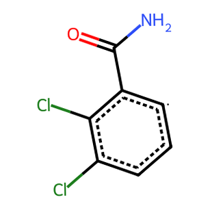 NC(=O)c1[c]ccc(Cl)c1Cl